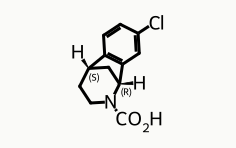 O=C(O)N1CC[C@H]2C[C@@H]1c1cc(Cl)ccc12